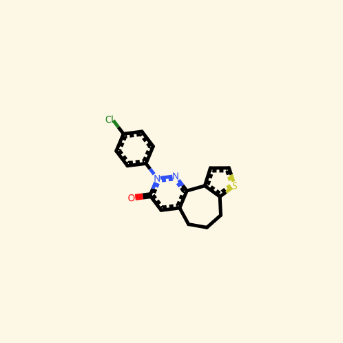 O=c1cc2c(nn1-c1ccc(Cl)cc1)-c1ccsc1CCC2